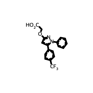 O=C(O)COc1cc(-c2ccc(C(F)(F)F)cc2)n(-c2ccccc2)n1